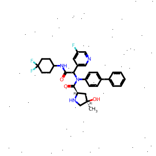 C[C@]1(O)CN[C@@H](C(=O)N(c2ccc(-c3ccccc3)cc2)C(C(=O)NC2CCC(F)(F)CC2)c2cncc(F)c2)C1